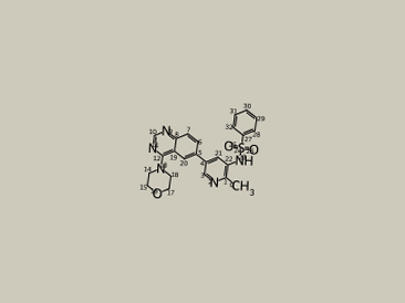 Cc1ncc(-c2ccc3ncnc(N4CCOCC4)c3c2)cc1NS(=O)(=O)c1ccccc1